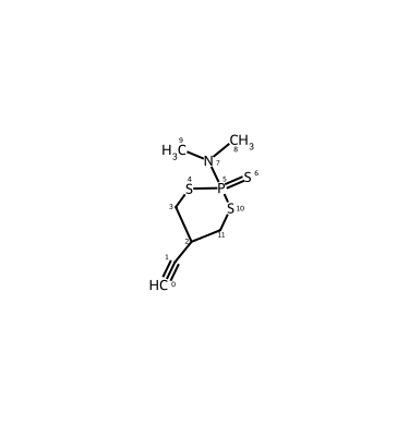 C#CC1CSP(=S)(N(C)C)SC1